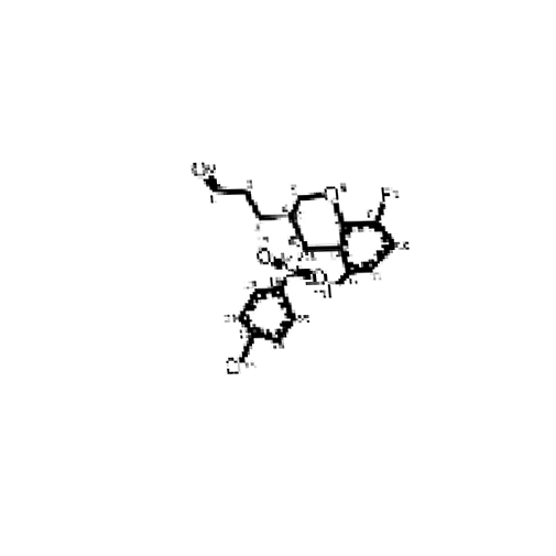 O=CCC[C@H]1COc2c(F)ccc(F)c2[C@@H]1S(=O)(=O)c1ccc(Cl)cc1